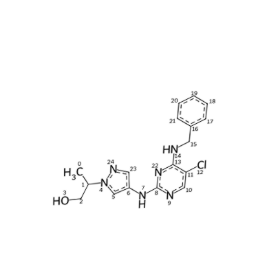 CC(CO)n1cc(Nc2ncc(Cl)c(NCc3ccccc3)n2)cn1